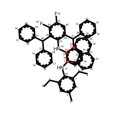 CCc1cc(C)cc(CC)c1NC1c2cccc3cccc(c23)C1Nc1c(C(c2ccccc2)c2ccccc2)cc(F)c(F)c1C(c1ccccc1)c1ccccc1